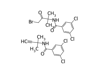 C#CC(C)(C)NC(=O)c1cc(Cl)cc(Cl)c1.CC(C)(NC(=O)c1cc(Cl)cc(Cl)c1)C(=O)CBr